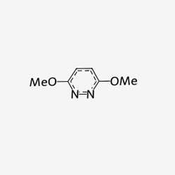 COc1ccc(OC)nn1